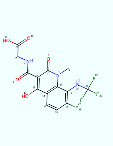 Cn1c(=O)c(C(=O)NCC(=O)O)c(O)c2ccc(F)c(NC(F)(F)F)c21